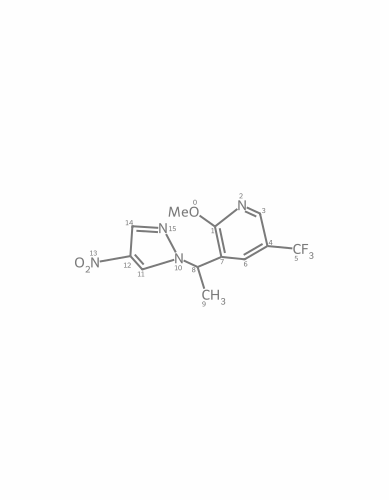 COc1ncc(C(F)(F)F)cc1C(C)n1cc([N+](=O)[O-])cn1